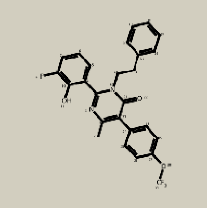 Cc1nc(-c2cccc(F)c2O)n(CCc2ccccc2)c(=O)c1-c1ccc(OC(F)(F)F)cc1